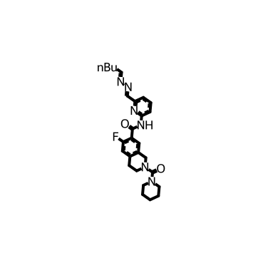 CCCC/C=N/N=C/c1cccc(NC(=O)c2cc3c(cc2F)CCN(C(=O)N2CCCCC2)C3)n1